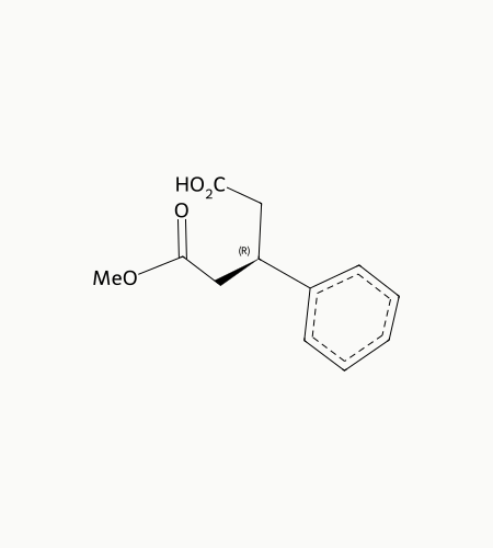 COC(=O)C[C@@H](CC(=O)O)c1ccccc1